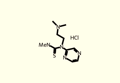 CNC(=S)N(CCN(C)C)c1cnccn1.Cl